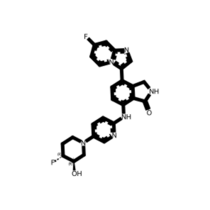 O=C1NCc2c(-c3cnc4cc(F)ccn34)ccc(Nc3ccc(N4CC[C@@H](F)[C@H](O)C4)cn3)c21